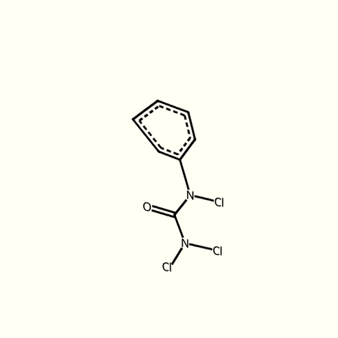 O=C(N(Cl)Cl)N(Cl)c1ccccc1